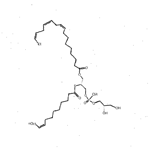 CC/C=C\C/C=C\C/C=C\CCCCCCCC(=O)OC[C@H](COP(=O)(O)OC[C@@H](O)CO)OC(=O)CCCCCCC/C=C\CCCCCCCC